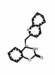 O=C1N[C@H](Cc2ccc3ccccc3n2)c2ccccc2O1